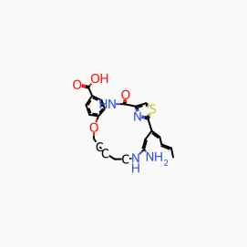 C/C=C/C=C1\C=C(/N)NCCCCCOc2ccc(C(=O)O)cc2NC(=O)c2csc1n2